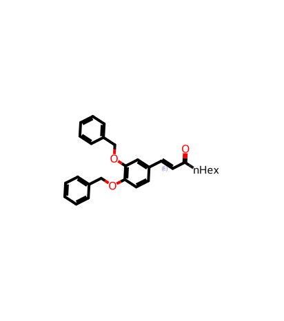 CCCCCCC(=O)/C=C/c1ccc(OCc2ccccc2)c(OCc2ccccc2)c1